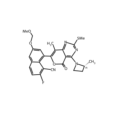 COCOc1cc(-c2oc(=O)c3c(N4CC[C@H]4C)nc(SC)nc3c2C)c2c(C#N)c(F)ccc2c1